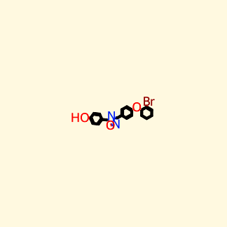 Oc1ccc(-c2nc(-c3ccc(OC4CCCC=C4Br)cc3)no2)cc1